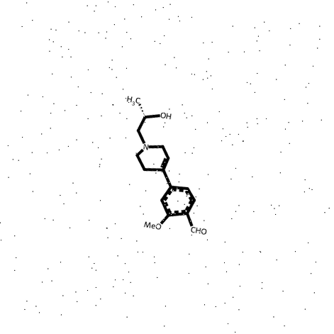 COc1cc(C2=CCN(C[C@H](C)O)CC2)ccc1C=O